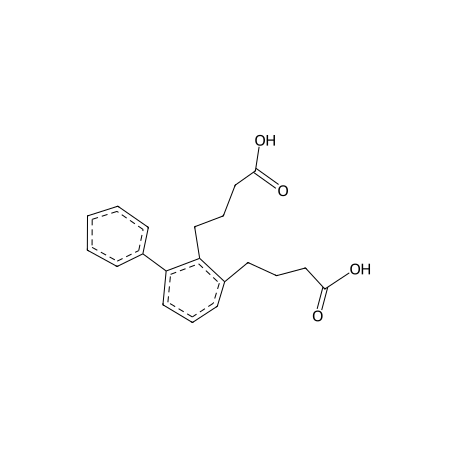 O=C(O)CCCc1cccc(-c2ccccc2)c1CCCC(=O)O